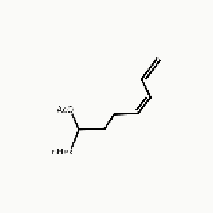 C=C/C=C\CCC(CCCCCC)OC(C)=O